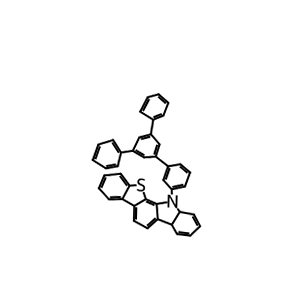 C1=CC2c3ccc4c(sc5ccccc54)c3N(c3cccc(-c4cc(-c5ccccc5)cc(-c5ccccc5)c4)c3)C2C=C1